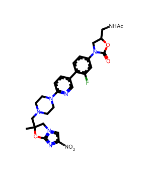 CC(=O)NCC1CN(c2ccc(-c3ccc(N4CCN(CC5(C)Cn6cc([N+](=O)[O-])nc6O5)CC4)nc3)c(F)c2)C(=O)O1